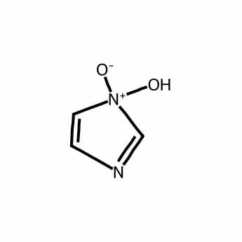 [O-][N+]1(O)C=CN=C1